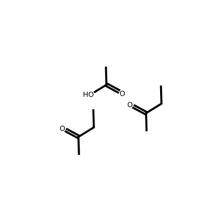 CC(=O)O.CCC(C)=O.CCC(C)=O